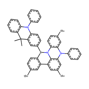 CC(C)(C)c1ccc2c(c1)-c1cc(C(C)(C)C)cc3c1N(B2c1ccc2c(c1)C(C)(C)c1ccccc1N2c1ccccc1)c1ccc(C(C)(C)C)cc1N3c1ccccc1